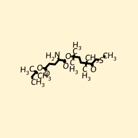 CCC(C)(C)OC(=O)CCC(N)C(=O)OC(C)(C)CCC(C)(C)C(=O)CSC